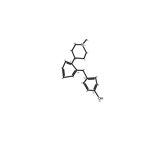 CN1CCC(c2ccccc2Cc2ccc(O)cc2)CC1